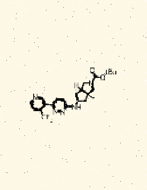 CC(C)(C)OC(=O)N1C[C@H]2C[C@H](Nc3ccc(-c4cnccc4C(F)(F)F)nn3)C[C@@]2(C)C1